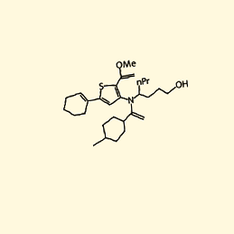 C=C(OC)c1sc(C2=CCCCC2)cc1N(C(=C)C1CCC(C)CC1)C(CCC)CCCO